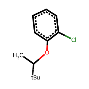 CC(Oc1ccccc1Cl)C(C)(C)C